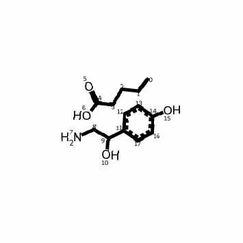 CCCCC(=O)O.NCC(O)c1ccc(O)cc1